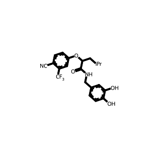 CC(C)CC(Oc1ccc(C#N)c(C(F)(F)F)c1)C(=O)NCc1ccc(O)c(O)c1